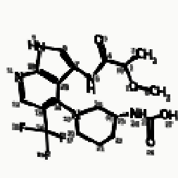 CO[C@H](C)C(=O)Nc1c[nH]c2ncc(C(F)(F)F)c(N3CCC[C@@H](NC(=O)O)C3)c12